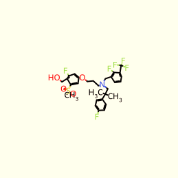 CC(C)(CN(CCCOc1cc(F)c(CO)c(S(C)(=O)=O)c1)Cc1cccc(C(F)(F)F)c1F)c1ccc(F)cc1